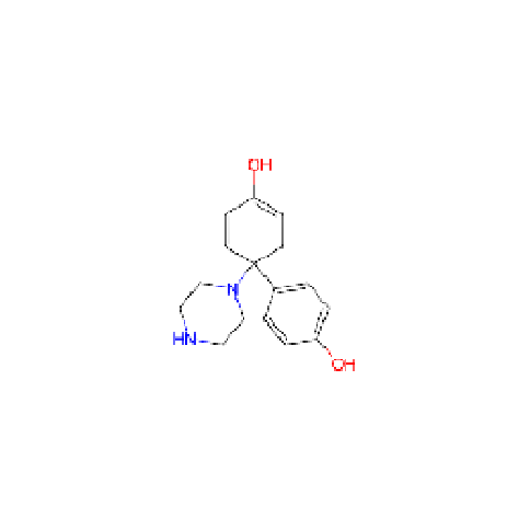 OC1=CCC(c2ccc(O)cc2)(N2CCNCC2)C=C1